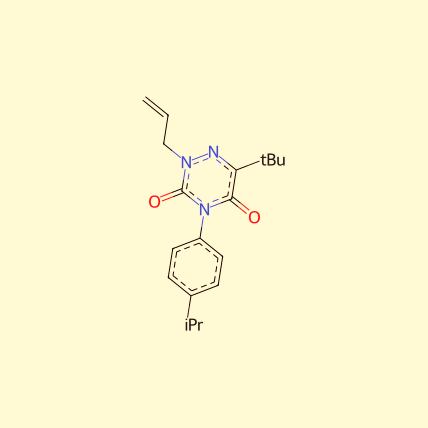 C=CCn1nc(C(C)(C)C)c(=O)n(-c2ccc(C(C)C)cc2)c1=O